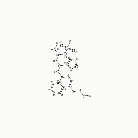 CCCCc1ccc(OC(CC(NC)OS(C)(=O)=O)c2ccoc2)c2ccccc12